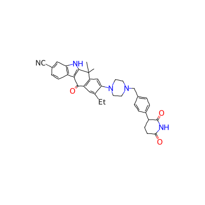 CCc1cc2c(cc1N1CCN(Cc3ccc(C4CCC(=O)NC4=O)cc3)CC1)C(C)(C)c1[nH]c3cc(C#N)ccc3c1C2=O